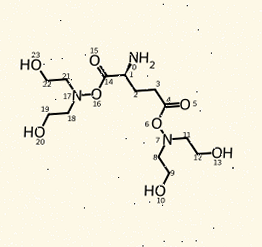 N[C@@H](CCC(=O)ON(CCO)CCO)C(=O)ON(CCO)CCO